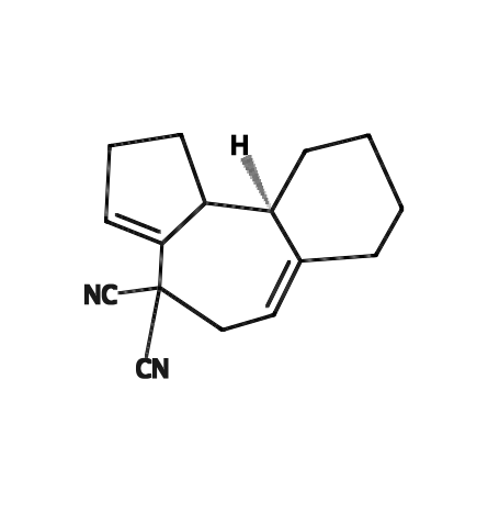 N#CC1(C#N)CC=C2CCCC[C@@H]2C2CCC=C21